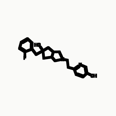 Oc1ccc(CCN2CC3CC(O)(Cc4ccccc4F)CC3C2)nc1